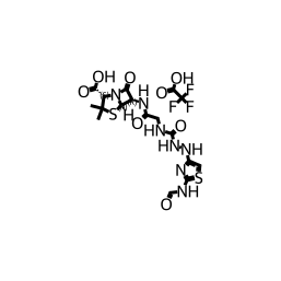 CC1(C)S[C@@H]2[C@H](NC(=O)CNC(=O)NNc3csc(NC=O)n3)C(=O)N2[C@H]1C(=O)O.O=C(O)C(F)(F)F